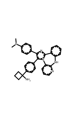 CN(C)c1ccc(-c2nc3n(c2-c2ccc(C4(N)CCC4)cc2)-c2cccnc2Nc2ccccc2-3)cc1